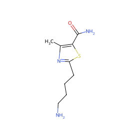 Cc1nc(CCCCN)sc1C(N)=O